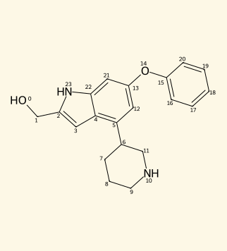 OCc1cc2c(C3CCCNC3)cc(Oc3ccccc3)cc2[nH]1